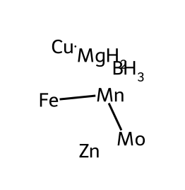 B.[Cu].[Fe][Mn][Mo].[MgH2].[Zn]